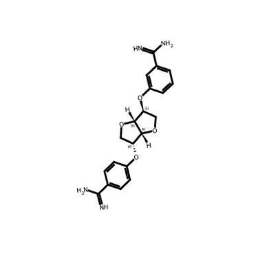 N=C(N)c1ccc(O[C@@H]2CO[C@H]3[C@@H]2OC[C@@H]3Oc2cccc(C(=N)N)c2)cc1